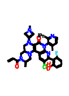 C=CC(=O)N1CC2CN(C3CN(C)C3)c3c(c4cc(Cl)c(-c5c(O)cccc5F)nc4n(-c4c(C)ccnc4C(C)C)c3=O)N2CC1C